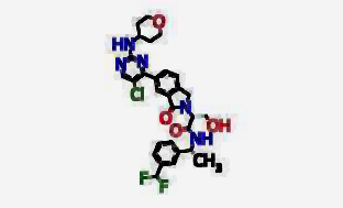 C[C@@H](NC(=O)[C@@H](CO)N1Cc2ccc(-c3nc(NC4CCOCC4)ncc3Cl)cc2C1=O)c1cccc(C(F)F)c1